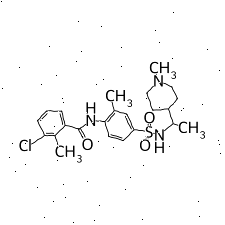 Cc1cc(S(=O)(=O)NC(C)C2CCN(C)CC2)ccc1NC(=O)c1cccc(Cl)c1C